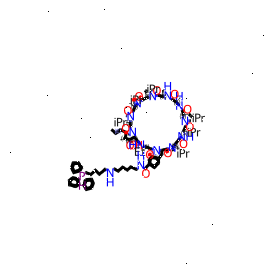 C/C=C/C[C@@H](C)[C@@H](O)[C@H]1C(=O)N[C@@H](CC)C(=O)N(C)C(Cc2ccc(C(=O)NCCCCCCNCCCCC[PH](c3ccccc3)(c3ccccc3)c3ccccc3)cc2)C(=O)N(C)[C@@H](CC(C)C)C(=O)N[C@@H](C(C)C)C(=O)N(C)[C@@H](CC(C)C)C(=O)N[C@@H](C)C(=O)N[C@H](C)C(=O)N(C)[C@@H](CC(C)C)C(=O)N(C)[C@@H](CC(C)C)C(=O)N(C)[C@@H](C(C)C)C(=O)N1C